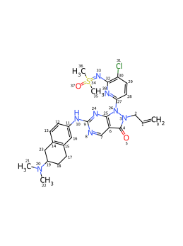 C=CCn1c(=O)c2cnc(Nc3ccc4c(c3)CCC(N(C)C)C4)nc2n1-c1ccc(Cl)c(N=S(C)(C)=O)n1